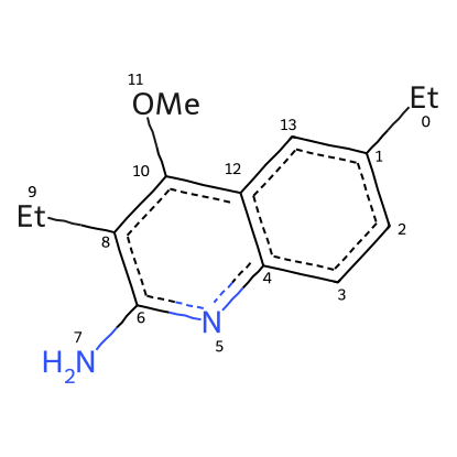 CCc1ccc2nc(N)c(CC)c(OC)c2c1